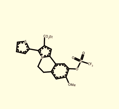 CCOC(=O)c1cc2n(c1-c1cccs1)CCc1cc(OC)c(OS(=O)(=O)C(F)(F)F)cc1-2